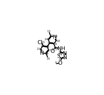 COc1nnc(NC(=O)c2cnc(C)cc2-c2cc(C)ncc2Cl)s1